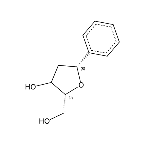 OC[C@H]1O[C@@H](c2ccccc2)CC1O